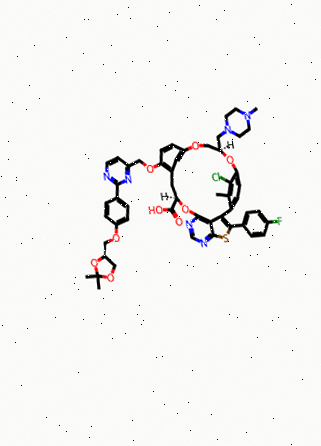 Cc1c2ccc(c1Cl)O[C@H](CN1CCN(C)CC1)COc1ccc(OCc3ccnc(-c4ccc(OC[C@H]5COC(C)(C)O5)cc4)n3)c(c1)C[C@H](C(=O)O)Oc1ncnc3sc(-c4ccc(F)cc4)c-2c13